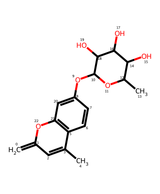 C=C1C=C(C)c2ccc(OC3OC(C)C(O)C(O)C3O)cc2O1